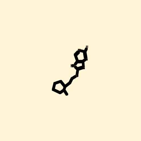 CC1CCCCC1CCOc1nc2nc(F)ncc2[nH]1